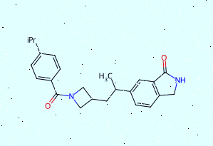 CC(C)c1ccc(C(=O)N2CC(CC(C)c3ccc4c(c3)C(=O)NC4)C2)cc1